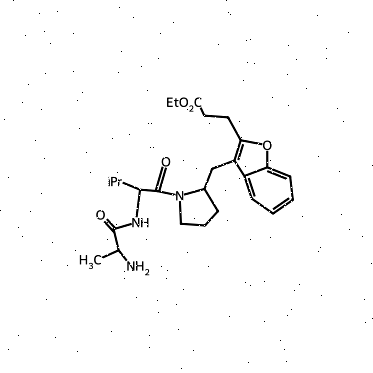 CCOC(=O)CCc1oc2ccccc2c1CC1CCCN1C(=O)C(NC(=O)C(C)N)C(C)C